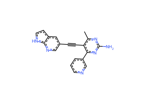 Cc1nc(N)nc(-c2cccnc2)c1C#Cc1cnc2[nH]ccc2c1